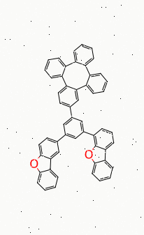 c1ccc2c(c1)-c1ccccc1-c1ccc(-c3cc(-c4ccc5oc6ccccc6c5c4)cc(-c4cccc5c4oc4ccccc45)c3)cc1-c1ccccc1-2